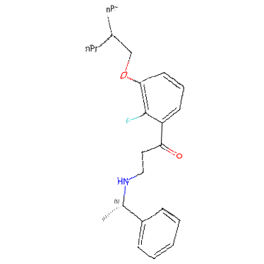 CCCC(CCC)COc1cccc(C(=O)CCN[C@@H](C)c2ccccc2)c1F